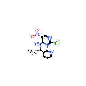 C[C@@H](Nc1nc(Cl)ncc1[N+](=O)[O-])c1cccnc1